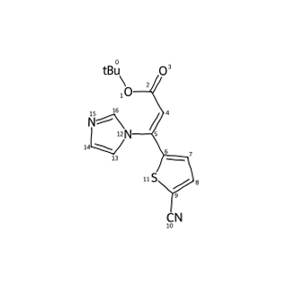 CC(C)(C)OC(=O)C=C(c1ccc(C#N)s1)n1ccnc1